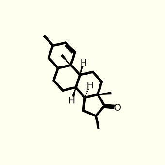 CC1C=C[C@@]2(C)C(CC[C@@H]3[C@H]2CC[C@]2(C)C(=O)C(C)C[C@@H]32)C1